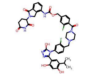 CC(C)c1cc(-c2nnc(O)n2-c2ccc(CN3CCN(C(=O)c4ccc(COC(=O)Nc5cccc6c5CN(C5CCC(=O)NC5=O)C6=O)cc4F)CC3)c(F)c2)c(O)cc1O